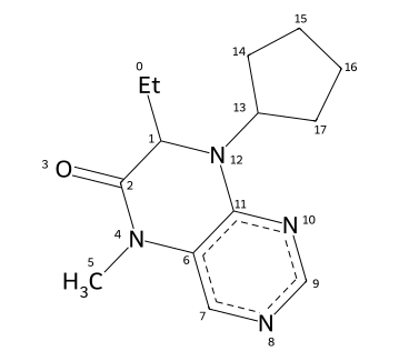 CCC1C(=O)N(C)c2cncnc2N1C1CCCC1